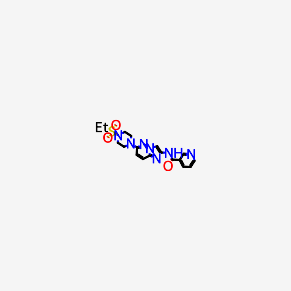 CCS(=O)(=O)N1CCN(c2ccc3nc(NC(=O)c4cccnc4)cn3n2)CC1